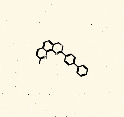 Cc1ccc2ccc3c(c2n1)N=C(c1ccc(-c2ccccc2)cc1)CC3